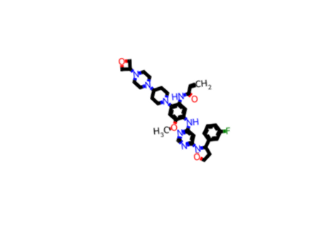 C=CC(=O)Nc1cc(Nc2cc(N3OCCC3c3cccc(F)c3)ncn2)c(OC)cc1N1CCC(N2CCN(C3COC3)CC2)CC1